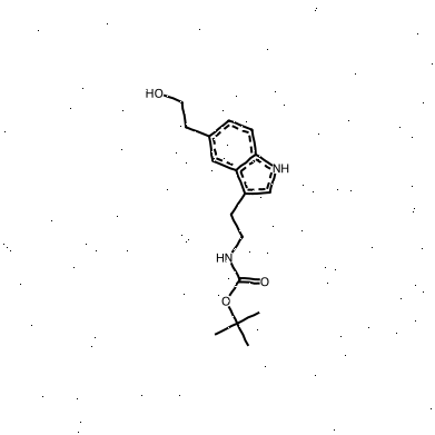 CC(C)(C)OC(=O)NCCc1c[nH]c2ccc(CCO)cc12